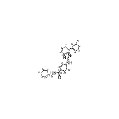 Cc1cccc(-c2cccc3nc(Nc4ccc(C(=O)NCC5CCCCC5)cc4)nn23)c1